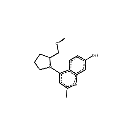 COCC1CCCN1c1cc(C)nc2cc(O)ccc12